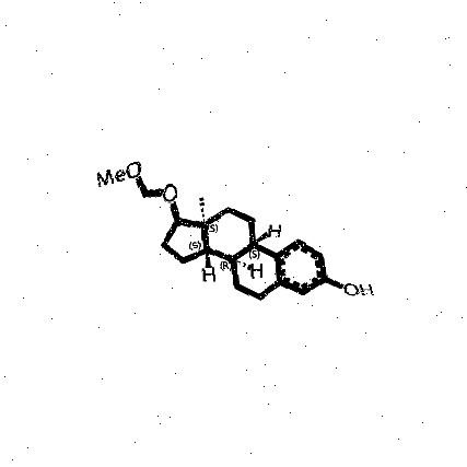 COCOC1CC[C@H]2[C@@H]3CCc4cc(O)ccc4[C@H]3CC[C@]12C